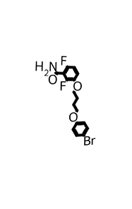 NC(=O)c1c(F)ccc(OCCCCOc2ccc(Br)cc2)c1F